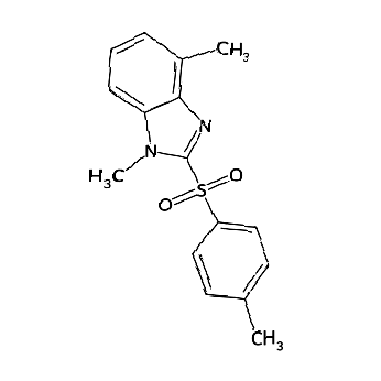 Cc1ccc(S(=O)(=O)c2nc3c(C)cccc3n2C)cc1